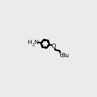 CC(C)(C)CCOc1ccc(N)cc1